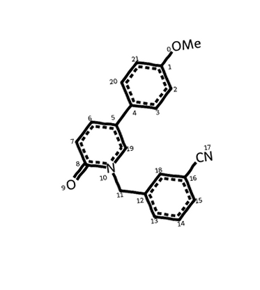 COc1ccc(-c2ccc(=O)n(Cc3cccc(C#N)c3)c2)cc1